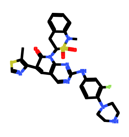 Cc1scnc1-c1cc2cnc(Nc3ccc(N4CCNCC4)c(F)c3)nc2n(C2Cc3ccccc3N(C)S2(=O)=O)c1=O